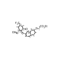 CCOC(=O)CSc1ccc2ccc(Oc3c(Cl)cc(C(F)(F)F)cc3OCC)cc2c1